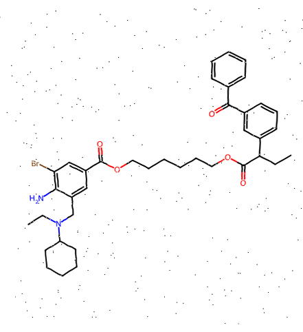 CCC(C(=O)OCCCCCCOC(=O)c1cc(Br)c(N)c(CN(CC)C2CCCCC2)c1)c1cccc(C(=O)c2ccccc2)c1